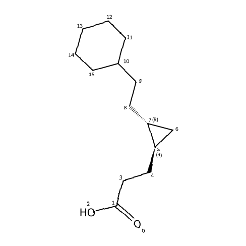 O=C(O)CC[C@@H]1C[C@H]1CCC1CCCCC1